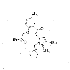 CC(C)[C@H](O)COc1ccc(C(F)(F)F)cc1C(=O)N=c1cc(C(C)(C)C)n(C)n1C[C@H]1CCCO1